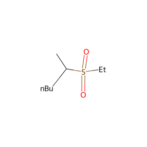 [CH2]CS(=O)(=O)C(C)CCCC